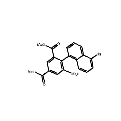 COC(=O)c1cc(C(=O)OC)c(-c2cccc3[c]([Na])cccc23)c(S(=O)(=O)O)c1